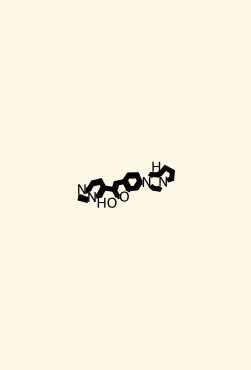 OC1Oc2cc(N3CCN4CCC[C@H]4C3)ccc2C=C1c1ccc2nccn2c1